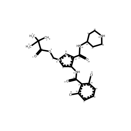 CC(C)(C)C(=O)OCn1cc(NC(=O)c2c(Cl)cccc2Cl)c(C(=O)NC2CCNCC2)n1